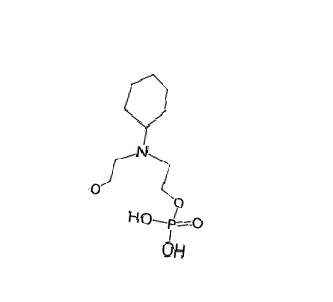 [O]CCN(CCOP(=O)(O)O)C1CCCCC1